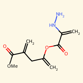 C=C(CC(=C)C(=O)OC)OC(=O)C(=C)NN